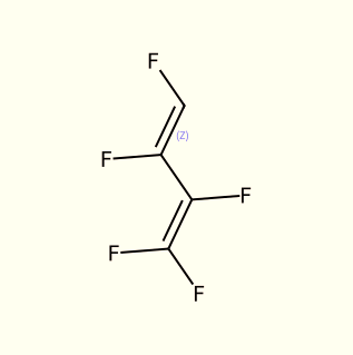 F/C=C(\F)C(F)=C(F)F